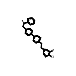 C[C@H](Cc1ccc(-c2ccc(CCc3ccc(Cl)c(F)c3)cc2)cc1)c1ccccc1